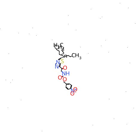 CCC[CH2][Sn]([CH2]CCC)([CH2]CCC)[c]1cn2cnc(C(=O)CNC(=O)OCc3ccc([N+](=O)[O-])cc3)c2s1